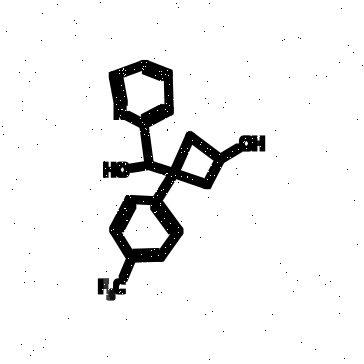 OC1CC(c2ccc(C(F)(F)F)cc2)(C(O)c2ccccn2)C1